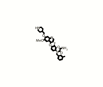 COc1cc2c(Oc3ccc(N(Cc4cccc(C)c4)C(=O)C(N)=O)cc3F)ccnc2cc1OCC1CCNCC1